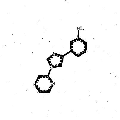 O=[N+]([O-])c1cccc(-c2cn(-c3cnccn3)cn2)c1